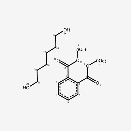 CCCCCCCCOC(=O)c1ccccc1C(=O)OCCCCCCCC.OCCCCCCO